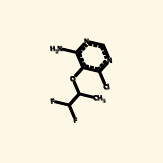 CC(Oc1c(N)ncnc1Cl)C(F)F